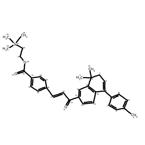 Cc1ccc(C2=CCC(C)(C)c3cc(C(=O)C=Cc4ccc(C(=O)OCC[Si](C)(C)C)cc4)ccc32)cc1